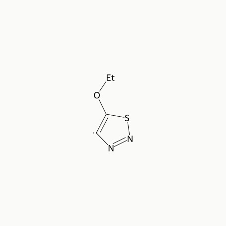 CCOc1[c]nns1